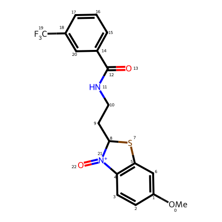 COc1ccc2c(c1)SC(CCNC(=O)c1cccc(C(F)(F)F)c1)[N+]2=O